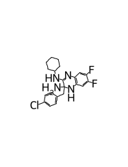 NC1(Cc2ccc(Cl)cc2)Nc2cc(F)c(F)cc2N=C1NC1CCCCC1